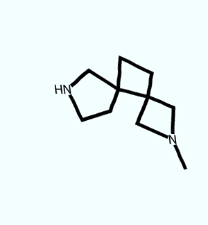 CN1CC2(CCC23CCNC3)C1